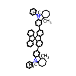 CC12CCCCCC1(C)N(c1ccccc1)c1ccc(-c3ccc4c(c3)C3(c5ccccc5-c5ccccc53)c3cc(-c5ccc6c(c5)C5(C)CCCCCC5(C)N6c5ccccc5)ccc3-4)cc12